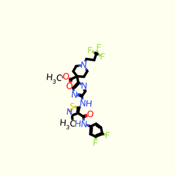 COC(=O)C1(c2cnc(Nc3snc(C)c3C(=O)Nc3ccc(F)c(F)c3)cn2)CCN(CCC(F)(F)F)CC1